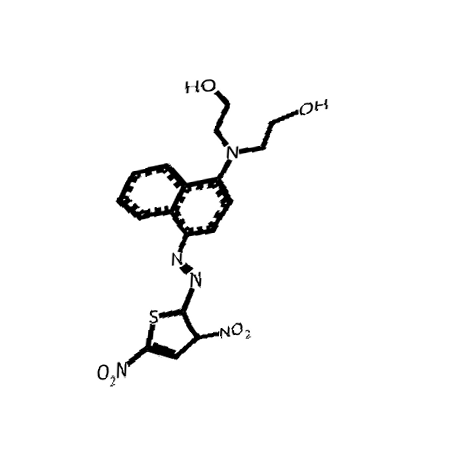 O=[N+]([O-])C1=CC([N+](=O)[O-])C(N=Nc2ccc(N(CCO)CCO)c3ccccc23)S1